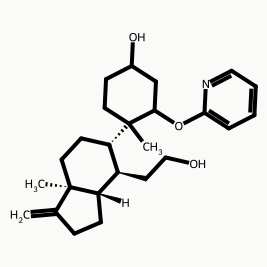 C=C1CC[C@H]2[C@H](CCO)[C@@H](C3(C)CCC(O)CC3Oc3ccccn3)CC[C@]12C